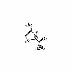 CCC(C)C(=O)c1nc(C(C)=O)cs1